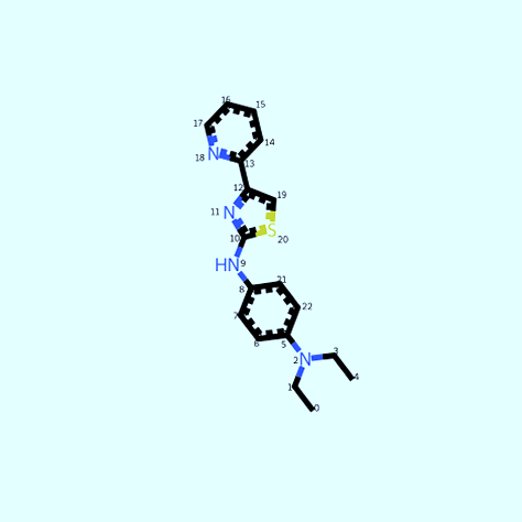 CCN(CC)c1ccc(Nc2nc(-c3ccccn3)cs2)cc1